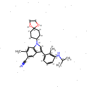 Cc1cc2c(cc1C#N)c(-c1cccc(NC(C)C)c1C)cn2C1CCC2(CC1)OCCO2